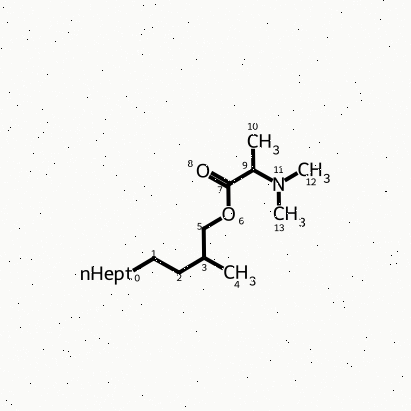 CCCCCCCCCC(C)COC(=O)C(C)N(C)C